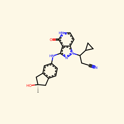 C[C@@]1(O)Cc2ccc(Nc3nn(C(CC#N)C4CC4)c4cc[nH]c(=O)c34)cc2C1